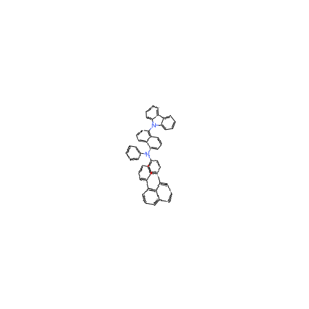 c1ccc(-c2cccc3cccc(-c4ccc(N(c5ccccc5)c5cccc6c(-n7c8ccccc8c8ccccc87)cccc56)cc4)c23)cc1